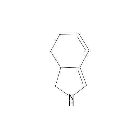 C1=CC2=CNCC2CC1